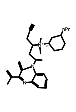 C#CCC(CC(C)N1C(=C)C(C(=C)C)=Nc2ccccc21)[N+](C)(C)[C@@H]1CCCC(CCC)C1